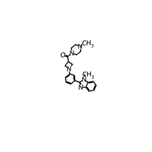 CN1CCN(C(=O)C2CN(c3cccc(-c4nc5ccccc5n4C)c3)C2)CC1